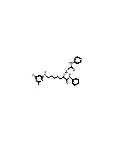 O=C(CN=NC(CCCCCNc1cc(F)nc(F)n1)C(=O)Nc1ccccc1)Nc1ccccc1